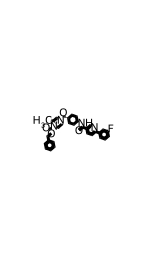 C[C@@H]1CN(C(=O)[C@H]2CC[C@H](NC(=O)c3ccc(-c4cccc(F)c4)nc3)CC2)CCN1C(=O)OCc1ccccc1